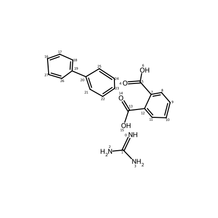 N=C(N)N.O=C(O)c1ccccc1C(=O)O.c1ccc(-c2ccccc2)cc1